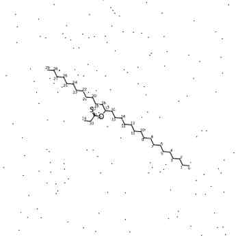 CCCCCCCCCCCCCCCCCC(CCCCCCCCCCCC)OC(=S)CC